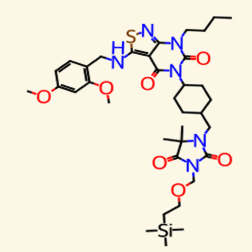 CCCCn1c(=O)n(C2CCC(CN3C(=O)N(COCC[Si](C)(C)C)C(=O)C3(C)C)CC2)c(=O)c2c(NCc3ccc(OC)cc3OC)snc21